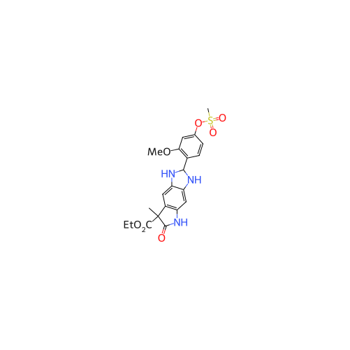 CCOC(=O)C1(C)C(=O)Nc2cc3c(cc21)NC(c1ccc(OS(C)(=O)=O)cc1OC)N3